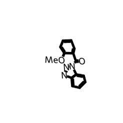 COc1ccccc1C(=O)n1nnc2ccccc21